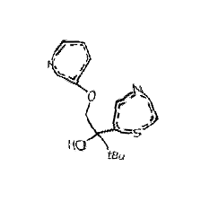 CC(C)(C)C(O)(COc1cccnc1)c1cncs1